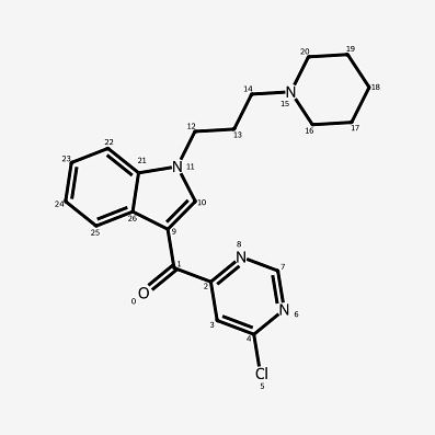 O=C(c1cc(Cl)ncn1)c1cn(CCCN2CCCCC2)c2ccccc12